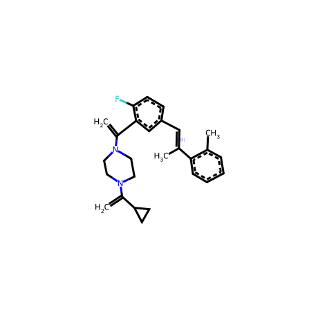 C=C(c1cc(/C=C(\C)c2ccccc2C)ccc1F)N1CCN(C(=C)C2CC2)CC1